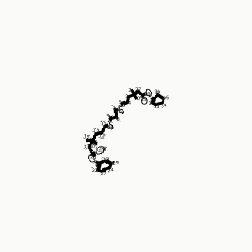 CC(C)(CCCSCCCSCCCC(C)(C)CC(=O)Oc1ccccc1)CC(=O)Oc1ccccc1